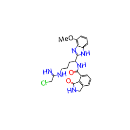 COc1cccc2[nH]c(C(CCCNC(=N)CCl)NC(=O)c3cccc4c3C(=O)NC4)nc12